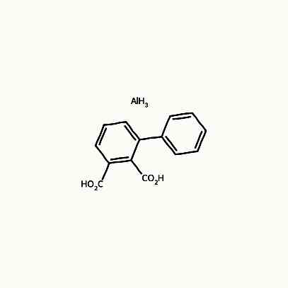 O=C(O)c1cccc(-c2ccccc2)c1C(=O)O.[AlH3]